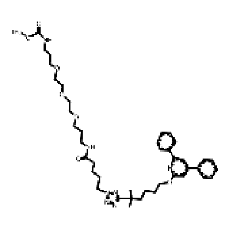 CC(C)(C)OC(=O)NCCCOCCOCCOCCCNC(=O)CCCCn1nnc(C(C)(C)CCCCOc2cc(-c3ccccc3)cc(-c3ccccc3)n2)n1